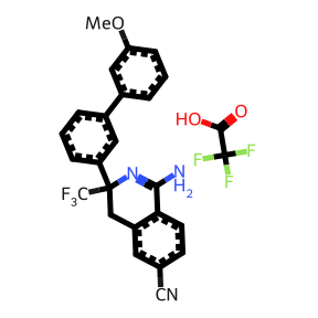 COc1cccc(-c2cccc(C3(C(F)(F)F)Cc4cc(C#N)ccc4C(N)=N3)c2)c1.O=C(O)C(F)(F)F